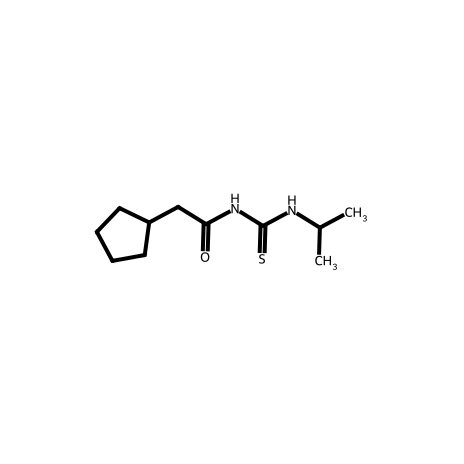 CC(C)NC(=S)NC(=O)CC1CCCC1